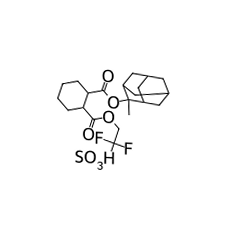 CC1(OC(=O)C2CCCCC2C(=O)OCC(F)(F)S(=O)(=O)O)C2CC3CC(C2)CC1C3